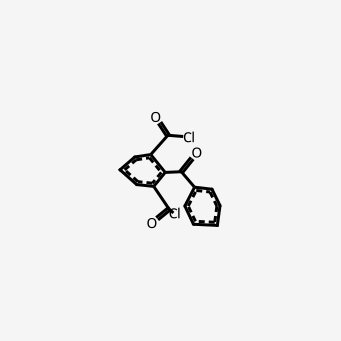 O=C(Cl)c1cccc(C(=O)Cl)c1C(=O)c1ccccc1